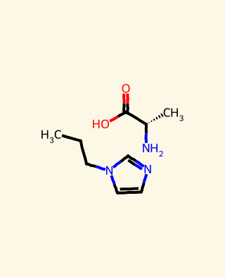 CCCn1ccnc1.C[C@H](N)C(=O)O